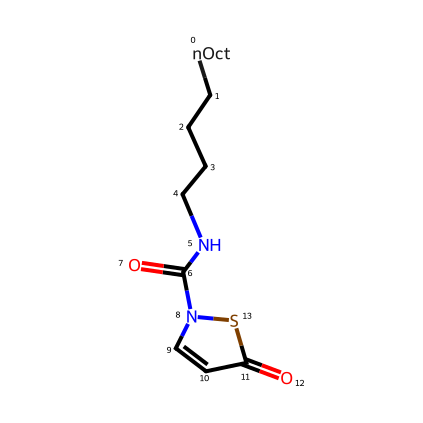 CCCCCCCCCCCCNC(=O)n1ccc(=O)s1